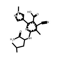 Cc1c(NC(CC(C)C)C(N)=O)nc(-c2cnn(C)c2)c(C(=O)O)c1C#N